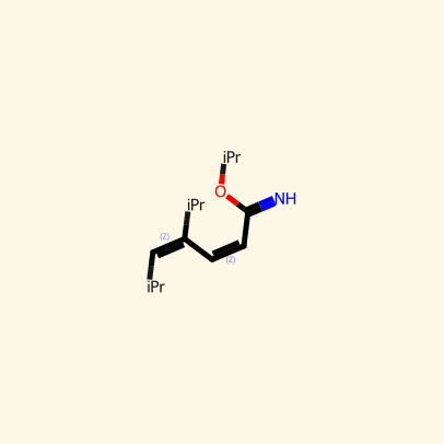 CC(C)/C=C(\C=C/C(=N)OC(C)C)C(C)C